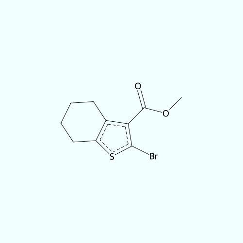 COC(=O)c1c(Br)sc2c1CCCC2